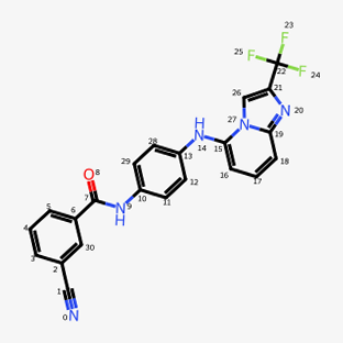 N#Cc1cccc(C(=O)Nc2ccc(Nc3cccc4nc(C(F)(F)F)cn34)cc2)c1